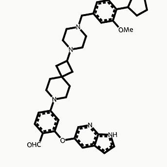 COc1cc(CN2CCN(C3CC4(CCN(c5ccc(C=O)c(Oc6cnc7[nH]ccc7c6)c5)CC4)C3)CC2)ccc1C1CCCC1